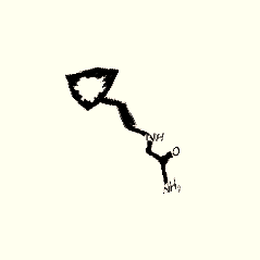 NC(=O)CNC=Cc1ccccc1